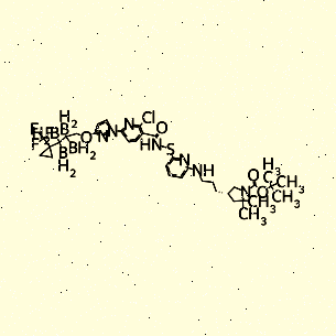 BC(B)(COc1ccn(-c2ccc(C(=O)NSc3cccc(NCCC[C@@H]4CN(C(=O)OC(C)(C)C)C(C)(C)C4)n3)c(Cl)n2)n1)C(B)(B)C1(C(F)(F)F)CC1